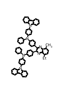 CCc1ccc(C)c2nc(-c3ccc(N(c4ccccc4)c4ccc(-n5c6ccccc6c6ccccc65)cc4)cc3)c(-c3ccc(N(c4ccccc4)c4ccc(-n5c6ccccc6c6ccccc65)cc4)cc3)nc12